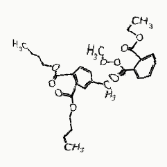 CCCCOC(=O)c1ccc(C)cc1C(=O)OCCCC.CCOC(=O)c1ccccc1C(=O)OOC